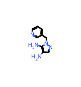 Nc1cnn(Cc2cccnc2)c1N